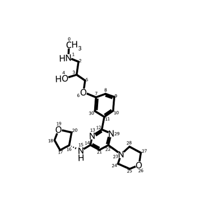 CNCC(O)COc1cccc(-c2nc(N[C@@H]3CCOC3)cc(N3CCOCC3)n2)c1